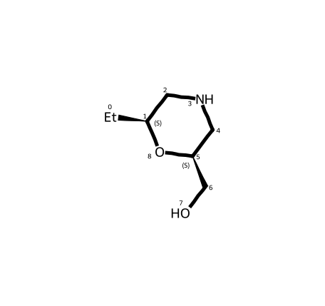 CC[C@H]1CNC[C@@H](CO)O1